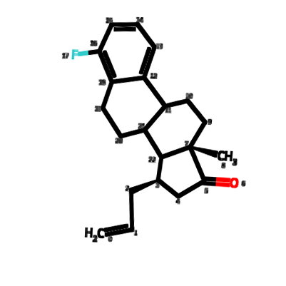 C=CC[C@@H]1CC(=O)[C@@]2(C)CCC3c4cccc(F)c4CCC3C12